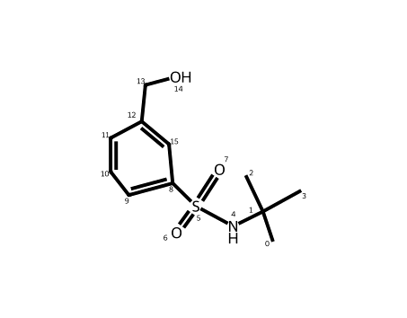 CC(C)(C)NS(=O)(=O)c1cccc(CO)c1